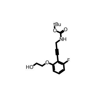 CC(C)(C)OC(=O)NCC#Cc1c(F)cccc1OCCO